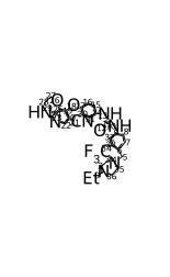 CCN1CCN(Cc2ccc(NC(=O)Nc3ccc(Oc4c(C#N)cnc5c4OCCN5)cc3)cc2C(F)(F)F)CC1